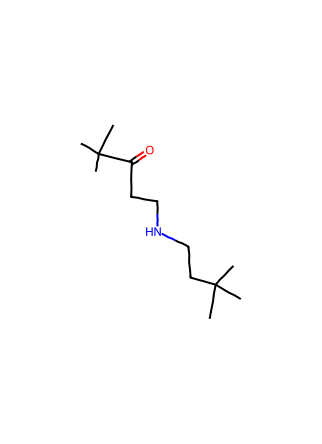 CC(C)(C)CCNCCC(=O)C(C)(C)C